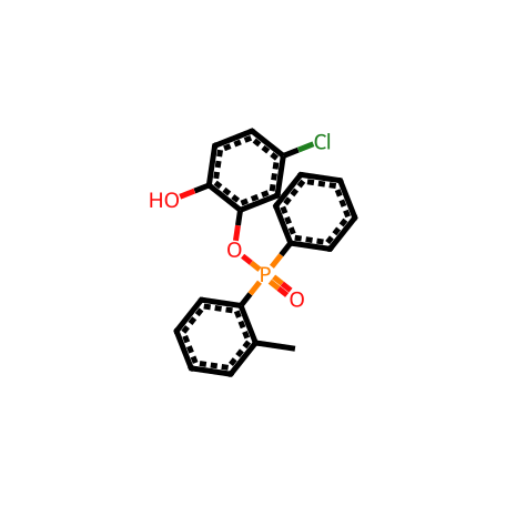 Cc1ccccc1P(=O)(Oc1cc(Cl)ccc1O)c1ccccc1